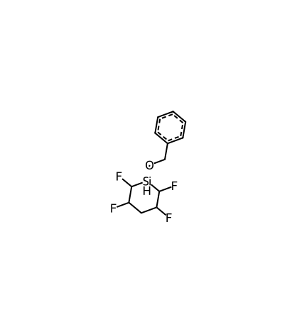 FC1CC(F)C(F)[SiH](OCc2ccccc2)C1F